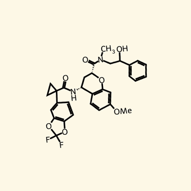 COc1ccc2c(c1)O[C@@H](C(=O)N(C)CC(O)c1ccccc1)C[C@H]2NC(=O)C1(c2ccc3c(c2)OC(F)(F)O3)CC1